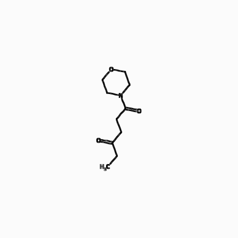 CCC(=O)CCC(=O)N1CCOCC1